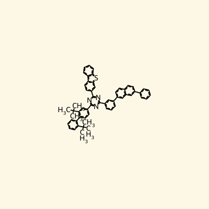 CC(C)(C)c1ccccc1-c1ccc(-c2nc(-c3cccc(-c4ccc5ccc(-c6ccccc6)cc5c4)c3)nc(-c3ccc4c(c3)sc3ccccc34)n2)cc1C(C)(C)C